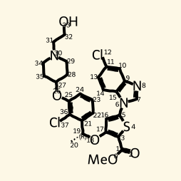 COC(=O)c1sc(-n2cnc3cc(Cl)ccc32)cc1O[C@H](C)c1cccc(OC2CCN(CCO)CC2)c1Cl